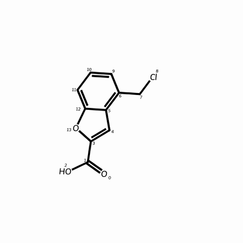 O=C(O)c1cc2c(CCl)cccc2o1